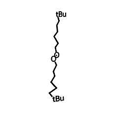 CC(C)(C)CCCCCCOOCCCCCCC(C)(C)C